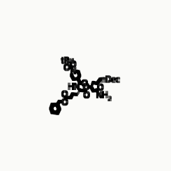 CCCCCCCCCCCCC[C@@H](CC(N)=O)OC(=O)[C@H](CCCC(=O)OCc1ccccc1)NC(=O)C1CCN(C(=O)OC(C)(C)C)CC1